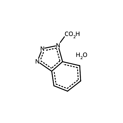 O.O=C(O)n1nnc2ccccc21